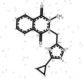 Cn1c(=O)c2ccccc2c(=O)n1Cc1nnc(C2CC2)o1